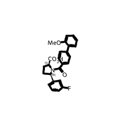 COc1ccccc1-c1ccc(C(=O)N2[C@@H](c3cccc(F)c3)CC[C@H]2C(=O)O)cc1